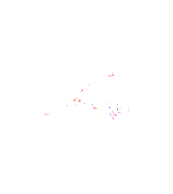 C=CC(=O)OCCCCCCOc1ccc(OC(=O)c2ccc(C(=O)Oc3ccc(OCCCCCCOC(=O)C=C)cc3)c(C(=O)OCc3ccc(OC(=O)c4ccc(-c5cc([N+](=O)[O-])c(O[C@@H](C)CCCCCC)cc5N)cc4)cc3)c2)cc1